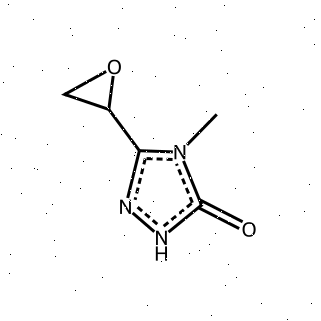 Cn1c(C2CO2)n[nH]c1=O